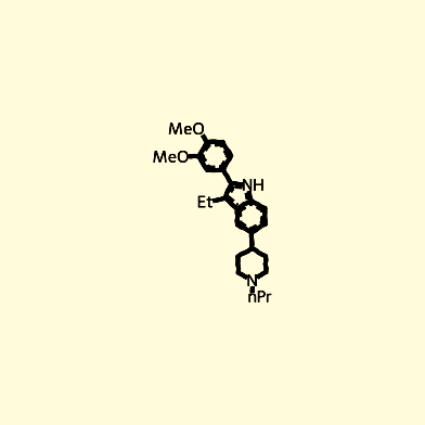 C[CH]CN1CCC(c2ccc3[nH]c(-c4ccc(OC)c(OC)c4)c(CC)c3c2)CC1